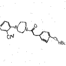 CCCCOc1ccc(CC(=O)N2CCN(c3ccccc3C#N)CC2)cc1